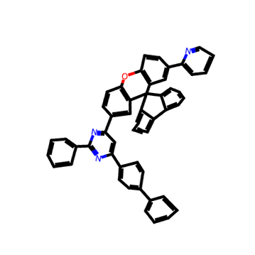 c1ccc(-c2ccc(-c3cc(-c4ccc5c(c4)C4(c6cc(-c7ccccn7)ccc6O5)c5ccccc5-c5ccccc54)nc(-c4ccccc4)n3)cc2)cc1